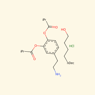 CC(C)C(=O)Oc1ccc(CCN)cc1OC(=O)C(C)C.CCCCCCCCCCCCCCO.Cl